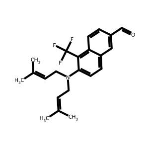 CC(C)=CCN(CC=C(C)C)c1ccc2cc(C=O)ccc2c1C(F)(F)F